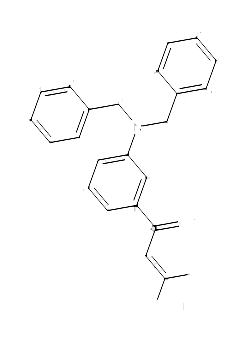 O=C(O)/C(O)=C/C(=O)c1cccc(N(Cc2ccccc2)Cc2ccccc2)c1